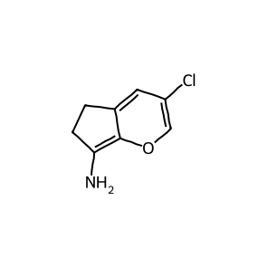 NC1=C2OC=C(Cl)C=C2CC1